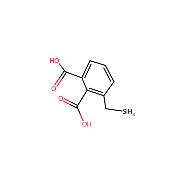 O=C(O)c1cccc(C[SiH3])c1C(=O)O